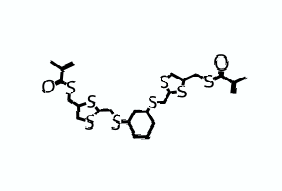 C=C(C)C(=O)SCC1CSC(CSC2CCCC(SCC3SCC(CSC(=O)C(=C)C)S3)C2)S1